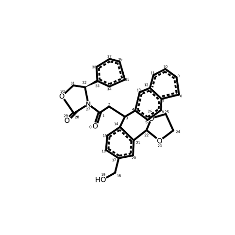 O=C(CC(c1ccc2ccccc2c1)c1ccc(CO)cc1C1OCCO1)N1C(=O)OC[C@H]1c1ccccc1